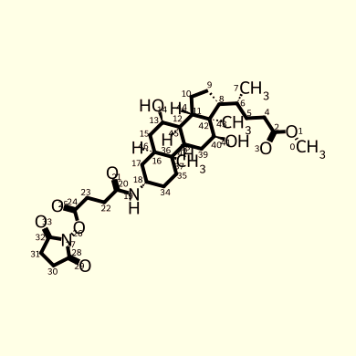 COC(=O)CC[C@@H](C)[C@H]1CC[C@H]2[C@@H]3[C@H](O)C[C@@H]4C[C@@H](NC(=O)CCC(=O)ON5C(=O)CCC5=O)CC[C@]4(C)[C@H]3C[C@H](O)[C@]12C